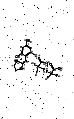 Nc1cc(Cl)c(N=C2NCCN2)c(Cl)c1.O=C(O)C(F)(F)F.O=C(O)C(F)(F)F